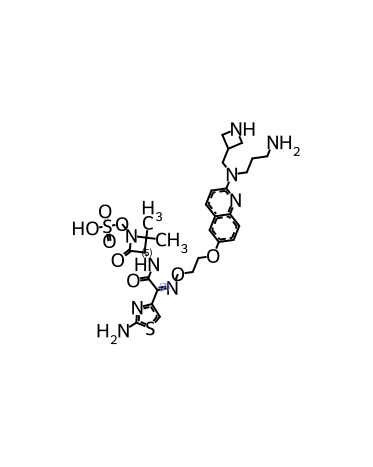 CC1(C)[C@H](NC(=O)/C(=N\OCCOc2ccc3nc(N(CCCN)CC4CNC4)ccc3c2)c2csc(N)n2)C(=O)N1OS(=O)(=O)O